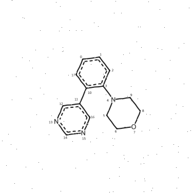 c1ccc(N2CCOCC2)c(-c2cncnc2)c1